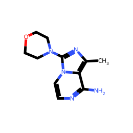 Cc1nc(N2CCOCC2)n2ccnc(N)c12